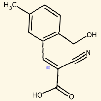 Cc1ccc(CO)c(/C=C(\C#N)C(=O)O)c1